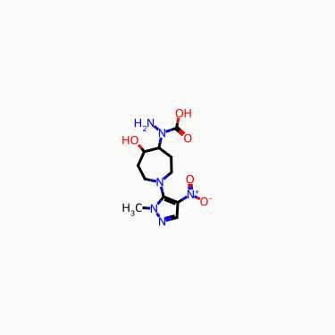 Cn1ncc([N+](=O)[O-])c1N1CCC(O)C(N(N)C(=O)O)CC1